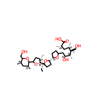 CC[C@@]1([C@@H]2OC(C3OC(CO)[C@H](C)C[C@@H]3C)C[C@@H]2C)CCC([C@@H]2CCC(C[C@H](O)[C@@H](C)/C(=C/O)[C@@H](C)C[C@H](C)C(=O)O)O2)O1